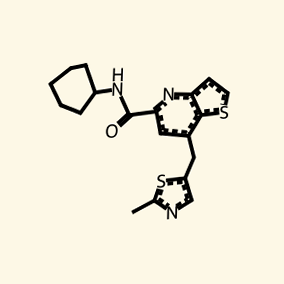 Cc1ncc(Cc2cc(C(=O)NC3CCCCC3)nc3ccsc23)s1